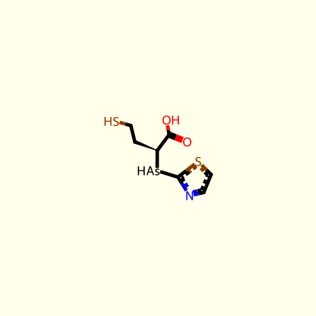 O=C(O)[C@H](CCS)[AsH]c1nccs1